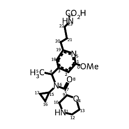 COc1cc(C(C)N(C(=O)[C@H]2CNCCO2)C2CC2)cc(CCCNC(=O)O)n1